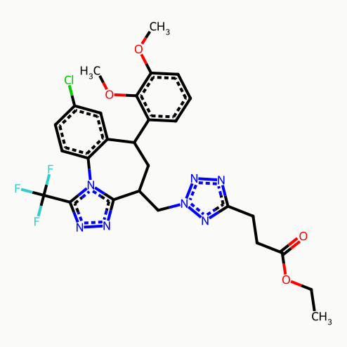 CCOC(=O)CCc1nnn(CC2CC(c3cccc(OC)c3OC)c3cc(Cl)ccc3-n3c2nnc3C(F)(F)F)n1